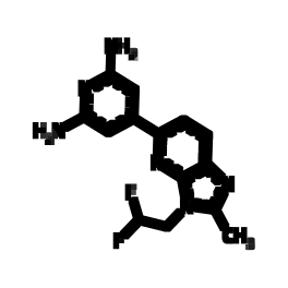 Cc1nc2ccc(-c3cc(N)nc(N)c3)nc2n1CC(F)F